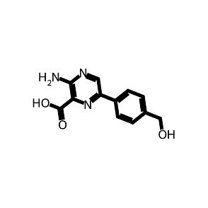 Nc1ncc(-c2ccc(CO)cc2)nc1C(=O)O